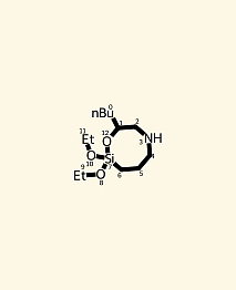 CCCCC1CNCCC[Si](OCC)(OCC)O1